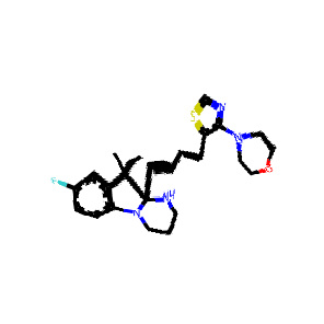 CC1(C)c2cc(F)ccc2N2CCCNC21C=CC=Cc1scnc1N1CCOCC1